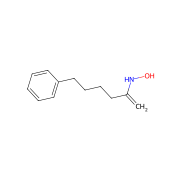 C=C(CCCCc1ccccc1)NO